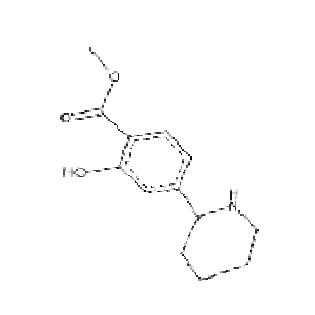 COC(=O)c1ccc(C2CCCCN2)cc1O